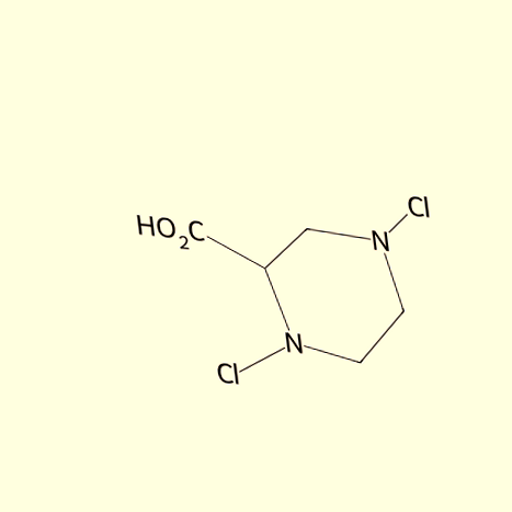 O=C(O)C1CN(Cl)CCN1Cl